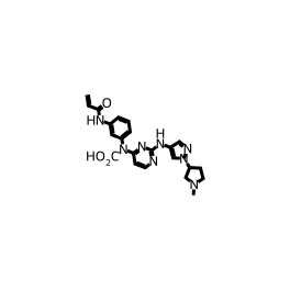 C=CC(=O)Nc1cccc(N(C(=O)O)c2ccnc(Nc3cnn(C4CCN(C)C4)c3)n2)c1